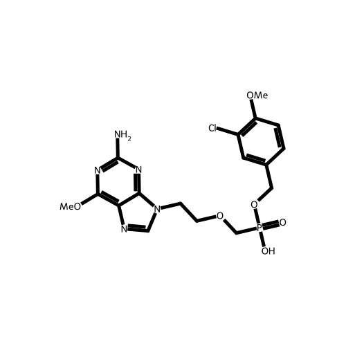 COc1ccc(COP(=O)(O)COCCn2cnc3c(OC)nc(N)nc32)cc1Cl